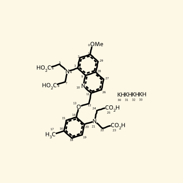 COc1cc(N(CC(=O)O)CC(=O)O)c2nc(COc3cc(C)ccc3N(CC(=O)O)CC(=O)O)ccc2c1.[KH].[KH].[KH].[KH]